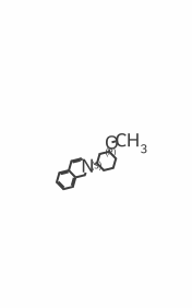 CO[C@@H]1CCC[C@H](N2C=Cc3ccccc3C2)C1